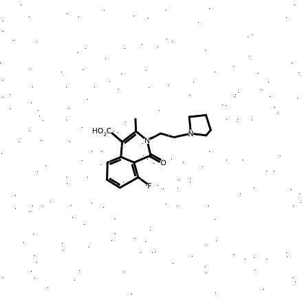 Cc1c(C(=O)O)c2cccc(F)c2c(=O)n1CCN1CCCC1